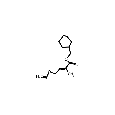 C=COCC=C(C)C(=O)OCC1CCCCC1